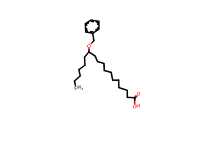 CCCCCCC(CCCCCCCCCCC(=O)O)OCc1ccccc1